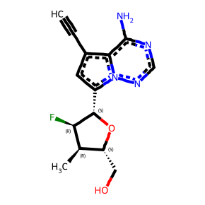 C#Cc1cc([C@@H]2O[C@H](CO)[C@@H](C)[C@H]2F)n2ncnc(N)c12